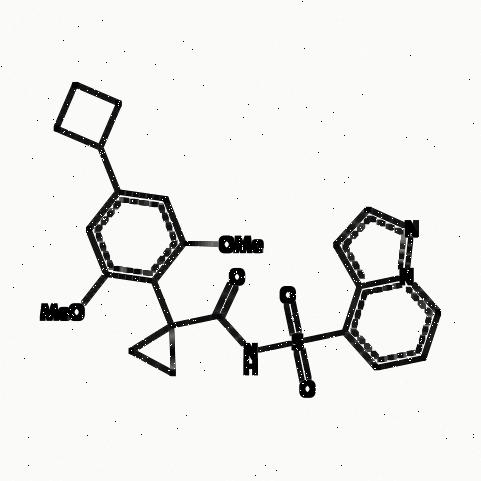 COc1cc(C2CCC2)cc(OC)c1C1(C(=O)NS(=O)(=O)c2cccn3nccc23)CC1